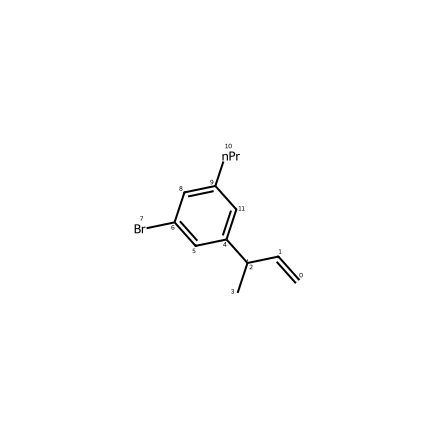 C=C[C](C)c1cc(Br)cc(CCC)c1